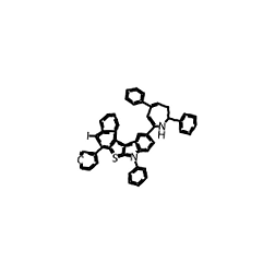 Ic1c(-c2ccccc2)c2sc3c(c4cc(C5=CC(c6ccccc6)=CCC(c6ccccc6)N5)ccc4n3-c3ccccc3)c2c2ccccc12